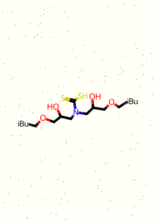 CCC(C)COCC(O)CN(CC(O)COCC(C)CC)C(=S)S